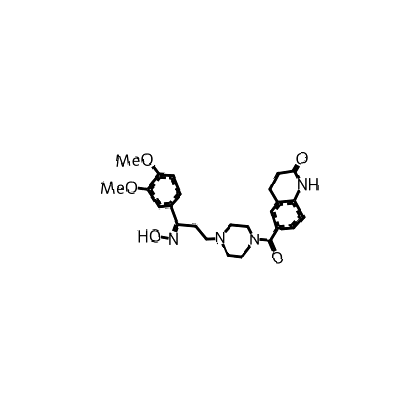 COc1ccc(C(CCN2CCN(C(=O)c3ccc4c(c3)CCC(=O)N4)CC2)=NO)cc1OC